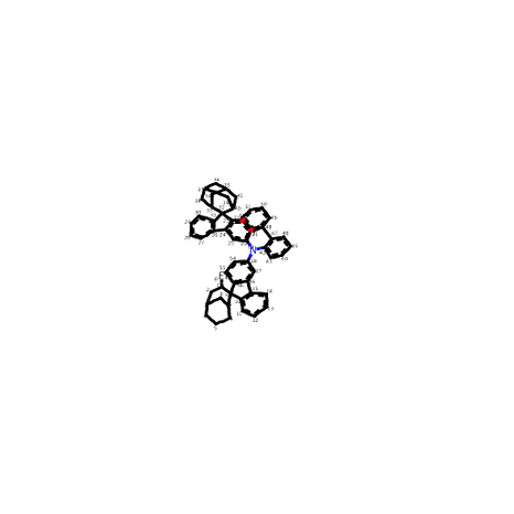 CCC1CC2CCCC(C2)C12c1ccccc1-c1cc(N(c3ccc4c(c3)-c3ccccc3C43C4CC5CC(C4)CC3C5)c3ccccc3-c3ccccc3)ccc12